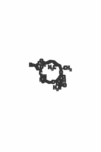 C/C(Br)=C\[C@@H]1Cc2nc(cs2)CCC[C@H](NS(C)(=O)=O)C(=O)O[C@@H](C)C/C(C)=C/C=C\C(=O)O1